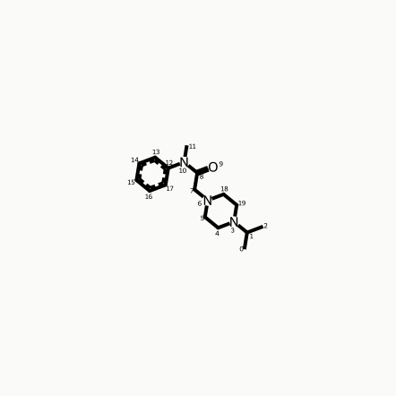 CC(C)N1CCN(CC(=O)N(C)c2ccccc2)CC1